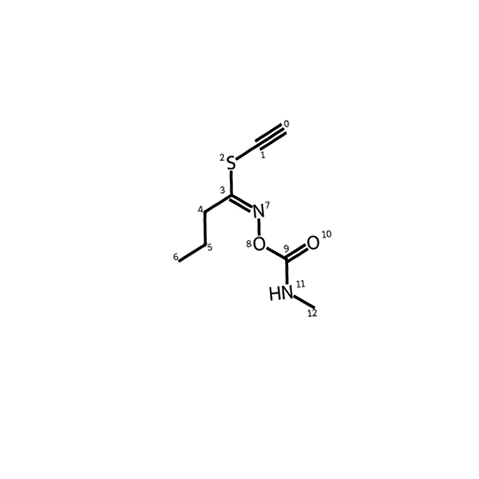 C#CSC(CCC)=NOC(=O)NC